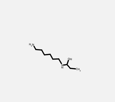 CCC(O)NCCCCCCN